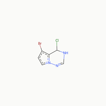 ClC1NC=Nn2ccc(Br)c21